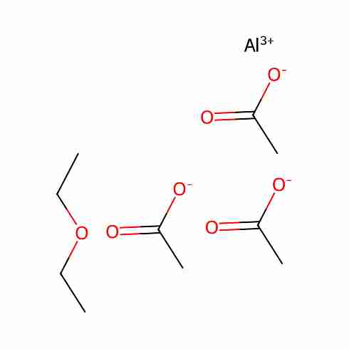 CC(=O)[O-].CC(=O)[O-].CC(=O)[O-].CCOCC.[Al+3]